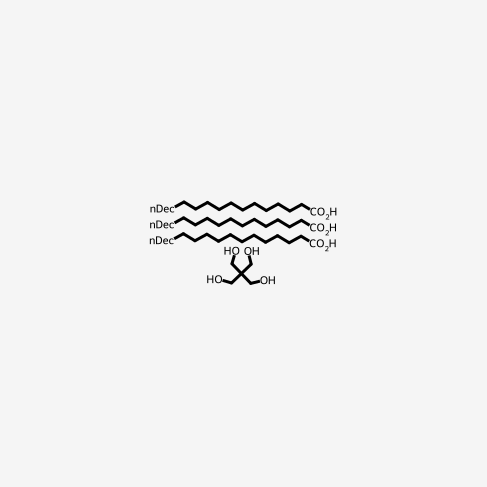 CCCCCCCCCCCCCCCCCCCCCC(=O)O.CCCCCCCCCCCCCCCCCCCCCC(=O)O.CCCCCCCCCCCCCCCCCCCCCC(=O)O.OCC(CO)(CO)CO